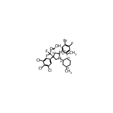 CC(C)[C@@H]1CC[C@@H](C)C[C@H]1N1C[C@@](c2cc(Cl)c(Cl)c(Cl)c2)(C(F)(F)F)[C@H](C(=O)O)[C@@H]1c1ccc(F)c(Br)c1